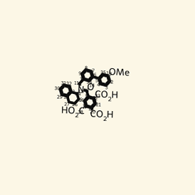 COc1cccc(-c2cccc(CN(C(=O)c3cc(C(=O)O)c(C(=O)O)cc3C(=O)O)[C@H]3CCCc4ccccc43)c2)c1